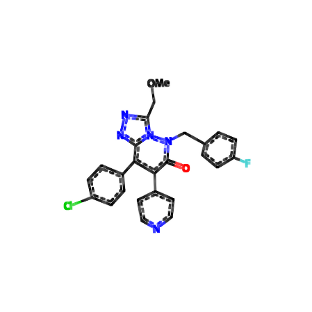 COCc1nnc2c(-c3ccc(Cl)cc3)c(-c3ccncc3)c(=O)n(Cc3ccc(F)cc3)n12